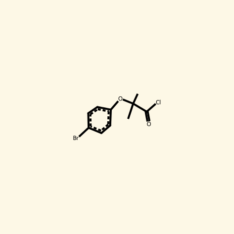 CC(C)(Oc1ccc(Br)cc1)C(=O)Cl